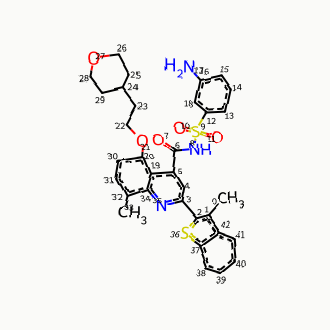 Cc1c(-c2cc(C(=O)NS(=O)(=O)c3cccc(N)c3)c3c(OCCC4CCOCC4)ccc(C)c3n2)sc2ccccc12